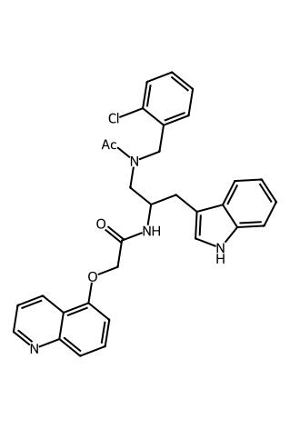 CC(=O)N(Cc1ccccc1Cl)CC(Cc1c[nH]c2ccccc12)NC(=O)COc1cccc2ncccc12